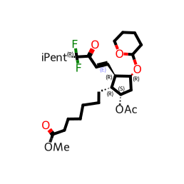 CCC[C@@H](C)C(F)(F)C(=O)/C=C/[C@@H]1[C@@H](CCCCCCC(=O)OC)[C@@H](OC(C)=O)C[C@H]1OC1CCCCO1